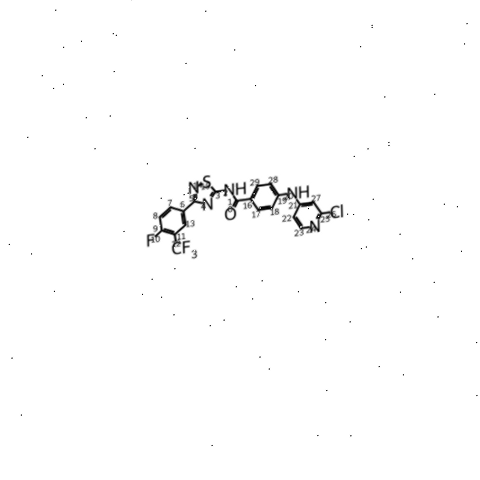 O=C(Nc1nc(-c2ccc(F)c(C(F)(F)F)c2)ns1)c1ccc(Nc2ccnc(Cl)c2)cc1